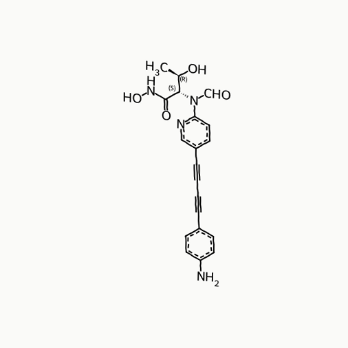 C[C@@H](O)[C@@H](C(=O)NO)N(C=O)c1ccc(C#CC#Cc2ccc(N)cc2)cn1